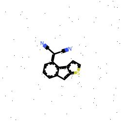 N#CC(C#N)=c1cccc2c1=c1ccsc1=C2